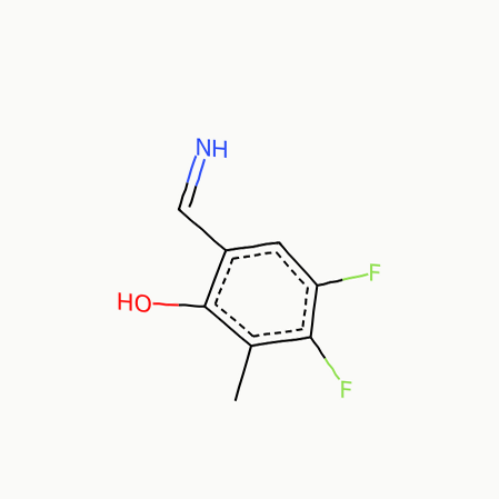 Cc1c(O)c(C=N)cc(F)c1F